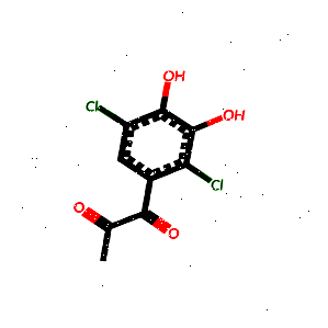 CC(=O)C(=O)c1cc(Cl)c(O)c(O)c1Cl